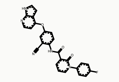 N#Cc1cc(Oc2ccnc3[nH]ccc23)ccc1NC(=O)c1cccn(-c2ccc(F)cc2)c1=O